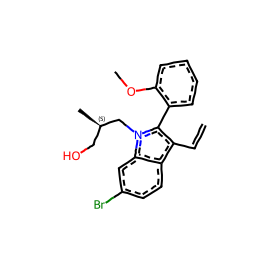 C=Cc1c(-c2ccccc2OC)n(C[C@H](C)CO)c2cc(Br)ccc12